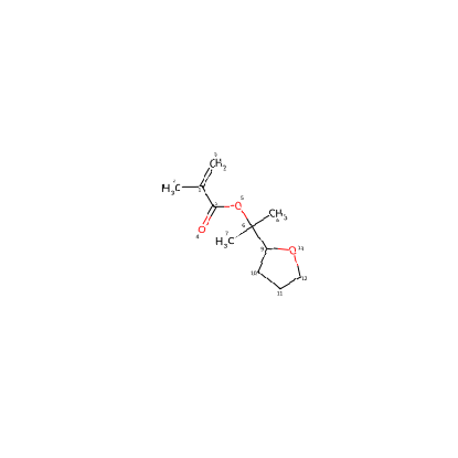 C=C(C)C(=O)OC(C)(C)C1CCCO1